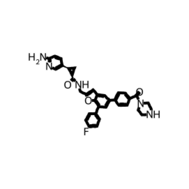 Nc1ccc([C@H]2C[C@@H]2C(=O)NCc2cc3cc(-c4ccc(C(=O)N5CCNCC5)cc4)cc(-c4ccc(F)cc4)c3o2)cn1